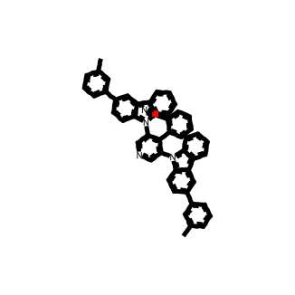 Cc1cccc(-c2ccc3c(c2)c2ccccc2n3-c2cncc(-n3c4ccccc4c4cc(-c5cccc(C)c5)ccc43)c2-c2ccccc2C#N)c1